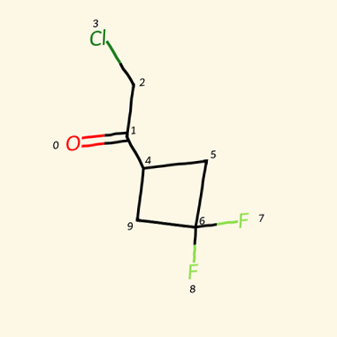 O=C(CCl)C1CC(F)(F)C1